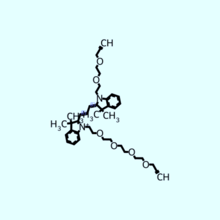 C#CCOCCOCCOCCOCC[N+]1=C(/C=C/C=C2/N(CCOCCOCC#C)c3ccccc3C2(C)C)C(C)(C)c2ccccc21